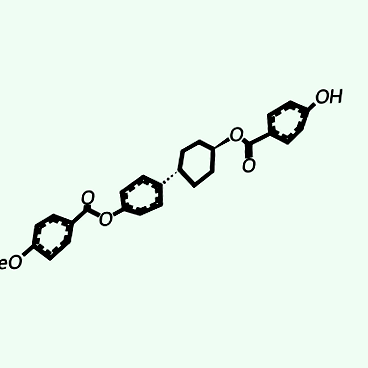 COc1ccc(C(=O)Oc2ccc([C@H]3CC[C@H](OC(=O)c4ccc(O)cc4)CC3)cc2)cc1